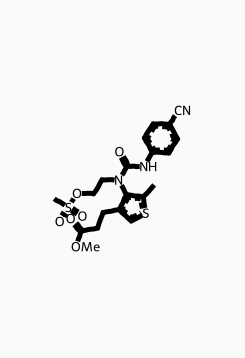 COC(=O)CCc1csc(C)c1N(CCOS(C)(=O)=O)C(=O)Nc1ccc(C#N)cc1